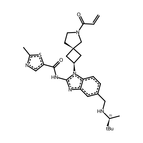 C=CC(=O)N1CC[C@]2(C1)C[C@H](n1c(NC(=O)c3cnc(C)s3)nc3cc(CN[C@@H](C)C(C)(C)C)ccc31)C2